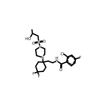 CC(O)CS(=O)(=O)N1CCN(C2(CCNC(=O)c3ccc(F)cc3Cl)CCC(F)(F)CC2)CC1